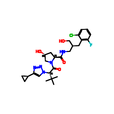 CC(C)(C)[C@@H](C(=O)N1C[C@H](O)C[C@H]1C(=O)NCC(CO)Cc1c(F)cccc1Cl)n1cc(C2CC2)nn1